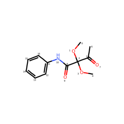 COC(OC)(C(C)=O)C(=O)Nc1ccccc1